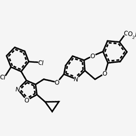 O=C(O)c1ccc2c(c1)Oc1ccc(OCc3c(-c4c(Cl)cccc4Cl)noc3C3CC3)nc1CO2